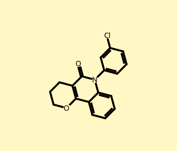 O=c1c2c(c3ccccc3n1-c1cccc(Cl)c1)OCCC2